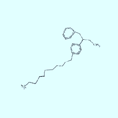 C[CH]C(Cc1ccccc1)c1ccc(CCCCCCCCCCC)cc1